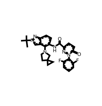 CC(C)(C)n1cc2c(N3CCC4(CC4)C3)c(NC(=O)c3ccc(=O)n(-c4c(F)cccc4F)n3)ccc2n1